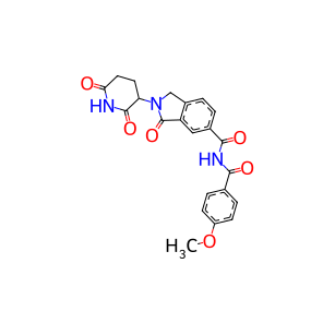 COc1ccc(C(=O)NC(=O)c2ccc3c(c2)C(=O)N(C2CCC(=O)NC2=O)C3)cc1